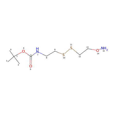 CC(C)(C)OC(=O)NCCSSCCON